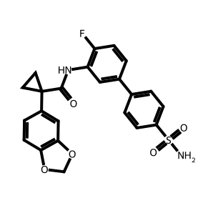 NS(=O)(=O)c1ccc(-c2ccc(F)c(NC(=O)C3(c4ccc5c(c4)OCO5)CC3)c2)cc1